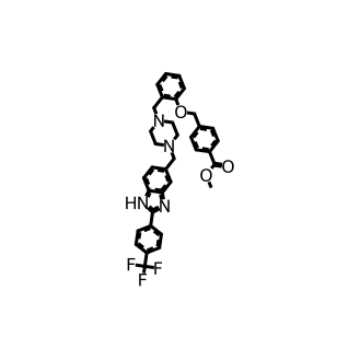 COC(=O)c1ccc(COc2ccccc2CN2CCN(Cc3ccc4[nH]c(-c5ccc(C(F)(F)F)cc5)nc4c3)CC2)cc1